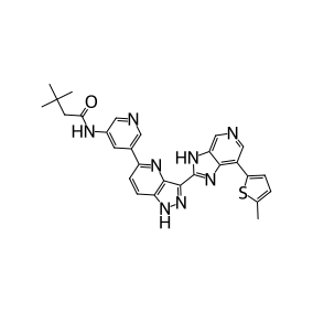 Cc1ccc(-c2cncc3[nH]c(-c4n[nH]c5ccc(-c6cncc(NC(=O)CC(C)(C)C)c6)nc45)nc23)s1